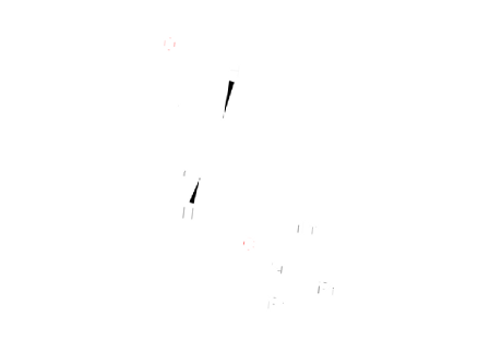 CC(C)[Si](O[C@H]1CC[C@H]2C(=O)CC[C@@H]12)(C(C)C)C(C)C